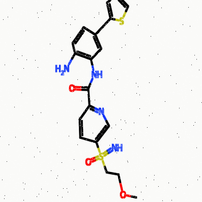 COCCS(=N)(=O)c1ccc(C(=O)Nc2cc(-c3cccs3)ccc2N)nc1